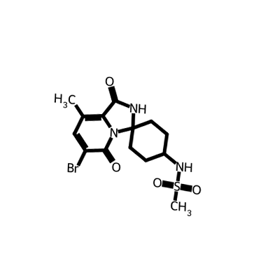 Cc1cc(Br)c(=O)n2c1C(=O)NC21CCC(NS(C)(=O)=O)CC1